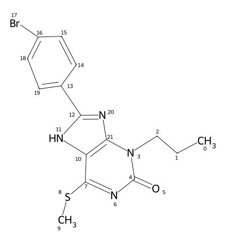 CCCn1c(=O)nc(SC)c2[nH]c(-c3ccc(Br)cc3)nc21